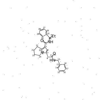 CC[C@@H](NC(=O)c1cc(CC(=O)NCc2ccccc2)n2c1CCCC2)c1ccccc1